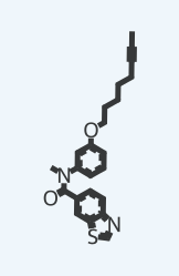 CC#CCCCCCOc1cccc(N(C)C(=O)c2ccc3ncsc3c2)c1